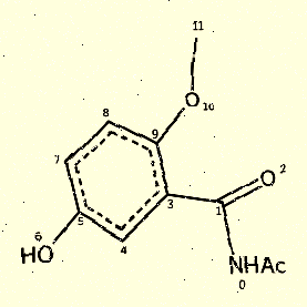 CC(=O)NC(=O)c1cc(O)ccc1OI